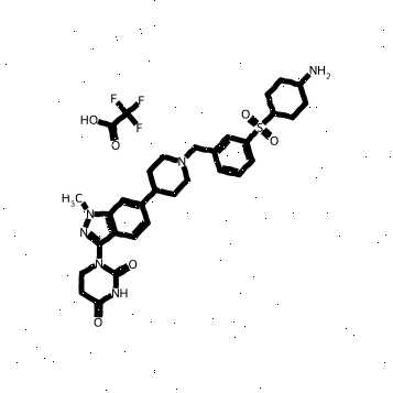 Cn1nc(N2CCC(=O)NC2=O)c2ccc(C3CCN(Cc4cccc(S(=O)(=O)C5CCC(N)CC5)c4)CC3)cc21.O=C(O)C(F)(F)F